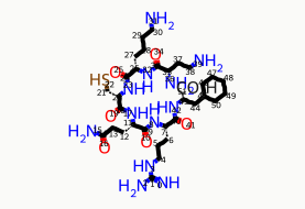 N=C(N)NCCC[C@H](NC(=O)[C@H](CCC(N)=O)NC(=O)[C@H](CS)NC(=O)[C@H](CCCCN)NC(=O)[C@@H](N)CCN)C(=O)N[C@@H](CC1CCCCC1)C(=O)O